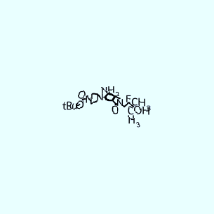 CC(C)(C)OC(=O)N1CCN(c2cc3c(cc2N)CN(CC(F)C(C)(C)O)C3=O)CC1